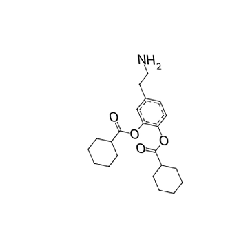 NCCc1ccc(OC(=O)C2CCCCC2)c(OC(=O)C2CCCCC2)c1